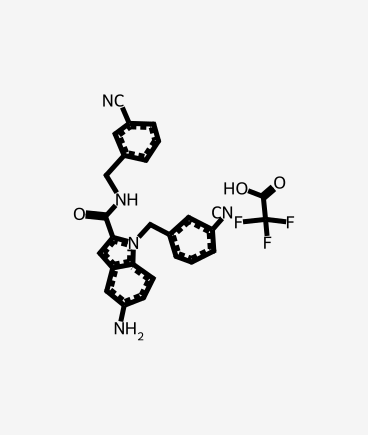 N#Cc1cccc(CNC(=O)c2cc3cc(N)ccc3n2Cc2cccc(C#N)c2)c1.O=C(O)C(F)(F)F